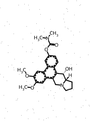 COc1cc2c3c(c4ccc(OC(=O)N(C)C)cc4c2cc1OC)[C@H](O)[C@@H]1CCCN1C3